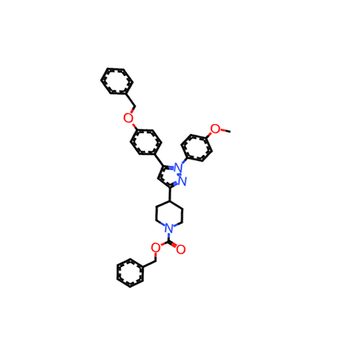 COc1ccc(-n2nc(C3CCN(C(=O)OCc4ccccc4)CC3)cc2-c2ccc(OCc3ccccc3)cc2)cc1